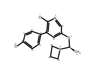 C[C@H](Oc1cnc(Cl)c(-c2ccc(Cl)cc2)c1)N1CCC1